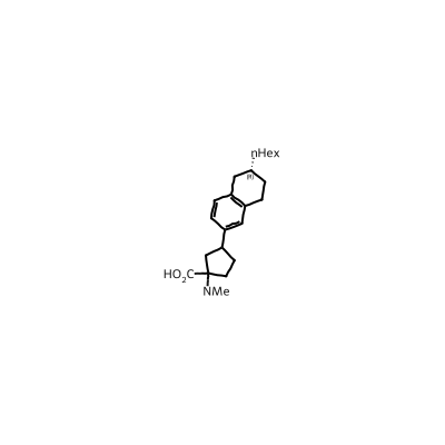 CCCCCC[C@@H]1CCc2cc(C3CCC(NC)(C(=O)O)C3)ccc2C1